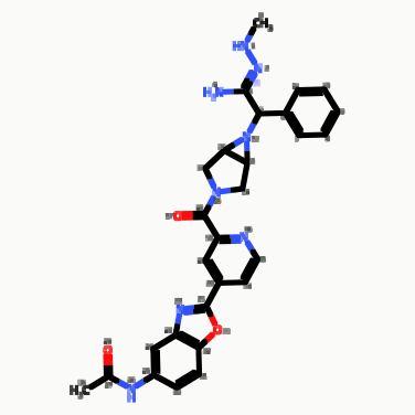 CN/N=C(\N)C(c1ccccc1)N1C2CN(C(=O)c3cc(-c4nc5cc(NC(C)=O)ccc5o4)ccn3)CC21